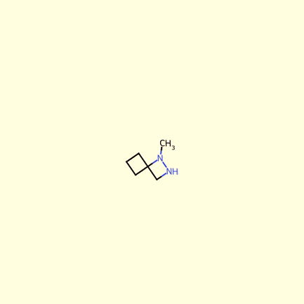 CN1NCC12CCC2